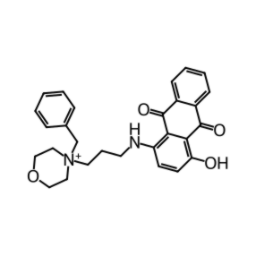 O=C1c2ccccc2C(=O)c2c(NCCC[N+]3(Cc4ccccc4)CCOCC3)ccc(O)c21